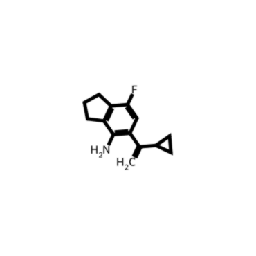 C=C(c1cc(F)c2c(c1N)CCC2)C1CC1